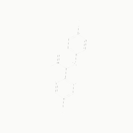 O=C(O)C(Nc1ccc(F)cc1)c1ccc(F)cc1